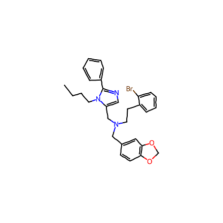 CCCCn1c(CN(CCc2ccccc2Br)Cc2ccc3c(c2)OCO3)cnc1-c1ccccc1